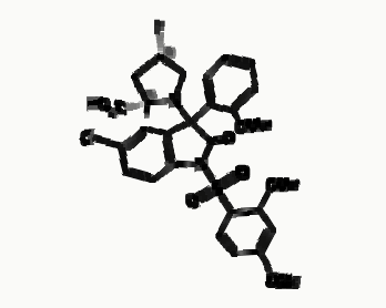 COc1ccc(S(=O)(=O)N2C(=O)C(c3ccccc3OC)(N3C[C@@H](F)C[C@@]3(C)C(=O)O)c3cc(Cl)ccc32)c(OC)c1